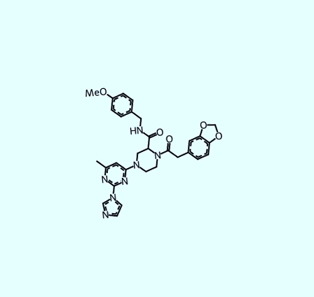 COc1ccc(CNC(=O)C2CN(c3cc(C)nc(-n4ccnc4)n3)CCN2C(=O)Cc2ccc3c(c2)OCO3)cc1